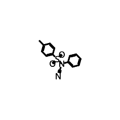 Cc1ccc(S(=O)(=O)N(C#N)c2ccccc2)cc1